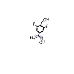 N/C(=N\O)c1cc(F)c(CO)c(F)c1